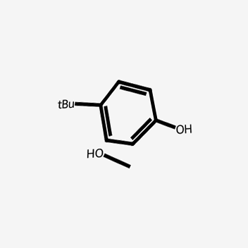 CC(C)(C)c1ccc(O)cc1.CO